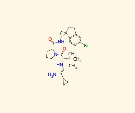 CC(C)(C)[C@H](N/C=C(\N)C1CC1)C(=O)N1CCCC1C(=O)NC1CC12CCc1cc(Br)ccc12